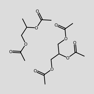 CC(=O)OCC(C)OC(C)=O.CC(=O)OCC(COC(C)=O)OC(C)=O